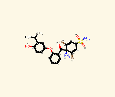 CC(C)c1cc(Oc2ccccc2C(=O)C2(N)C(Br)=CC(S(N)(=O)=O)C=C2Br)ccc1O